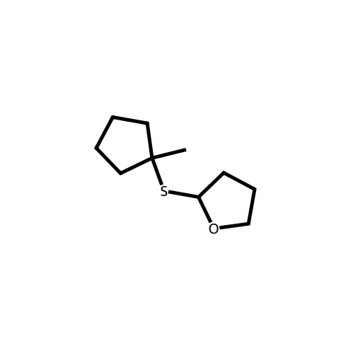 CC1(SC2CCCO2)CCCC1